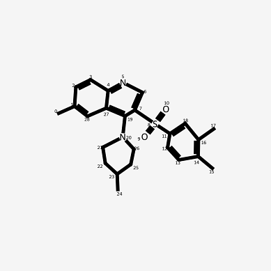 Cc1ccc2ncc(S(=O)(=O)c3ccc(C)c(C)c3)c(N3CCC(C)CC3)c2c1